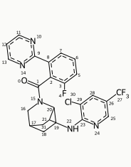 O=C(c1c(F)cccc1-c1ncccn1)N1CC2CCC1C(Nc1ncc(C(F)(F)F)cc1Cl)C2